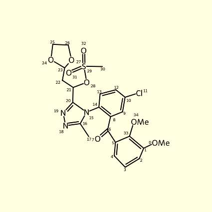 COc1cccc(C(=O)c2cc(Cl)ccc2-n2c(C)nnc2C(CC2OCCO2)OS(C)(=O)=O)c1OC